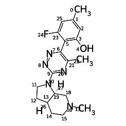 Cc1cc(O)c(-c2nnc(N3CC[C@@H]4CCN(C)C[C@@H]43)nc2C)c(F)c1